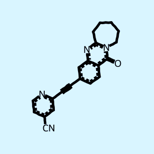 N#Cc1ccnc(C#Cc2ccc3c(=O)n4c(nc3c2)CCCCC4)c1